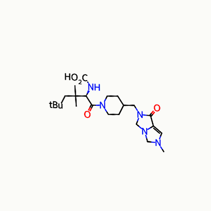 CN1C=C2C(=O)N(CC3CCN(C(=O)[C@H](NC(=O)O)C(C)(C)CC(C)(C)C)CC3)CN2C1